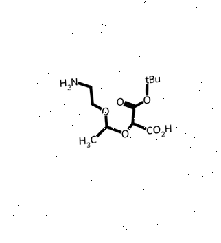 CC(OCCN)OC(C(=O)O)C(=O)OC(C)(C)C